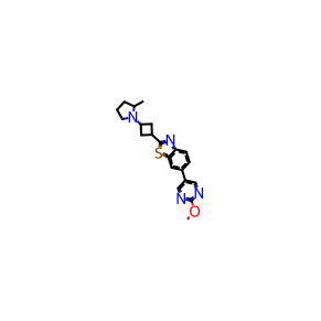 COc1ncc(-c2ccc3nc(C4CC(N5CCCC5C)C4)sc3c2)cn1